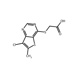 Cc1sc2c(SCC(=O)O)ncnc2c1Cl